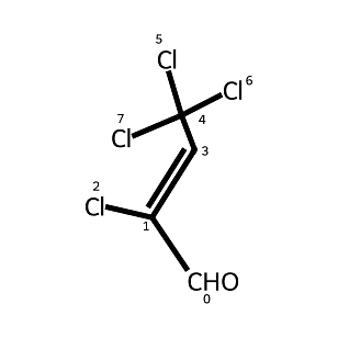 O=CC(Cl)=CC(Cl)(Cl)Cl